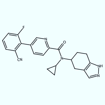 N#Cc1cccc(F)c1-c1ccc(C(=O)N(C2CC2)C2CCc3[nH]ncc3C2)nc1